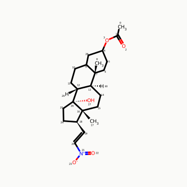 CC(=O)OC1CC[C@@]2(C)C(CC[C@@H]3[C@@H]2CC[C@]2(C)[C@@H](C=C[N+](=O)[O-])CC[C@@]32O)C1